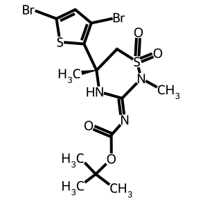 CN1/C(=N/C(=O)OC(C)(C)C)N[C@](C)(c2sc(Br)cc2Br)CS1(=O)=O